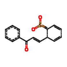 O=C(C=CC1C=CC=CC1=S(=O)=O)c1ccccc1